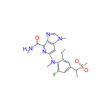 CCc1cc(C(C)S(C)(=O)=O)cc(F)c1N(C)c1cc2c(ncn2C)c(C(N)=O)n1